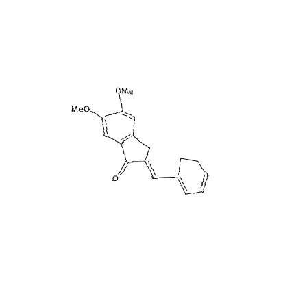 COc1cc2c(cc1OC)C(=O)C(=CC1=CC=CCC1)C2